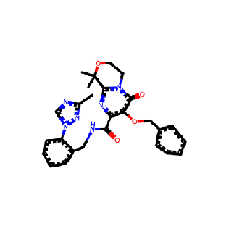 Cc1ncn(-c2ccccc2CNC(=O)c2nc3n(c(=O)c2OCc2ccccc2)CCOC3(C)C)n1